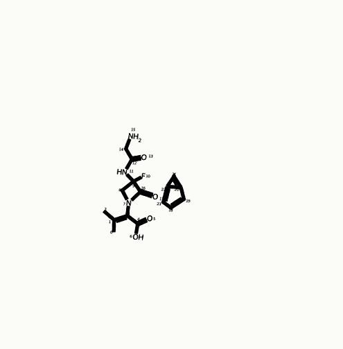 CC(C)=C(C(=O)O)N1CC(F)(NC(=O)CN)C1=O.c1cc2cc-2c1